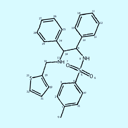 Cc1ccc(S(=O)(=O)NC(c2ccccc2)C(NCc2cccs2)c2ccccc2)cc1